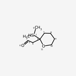 C[SiH](C)C1(C[C]=O)CCCCO1